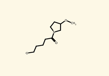 COC1CCN(C(=O)CCCC[O])C1